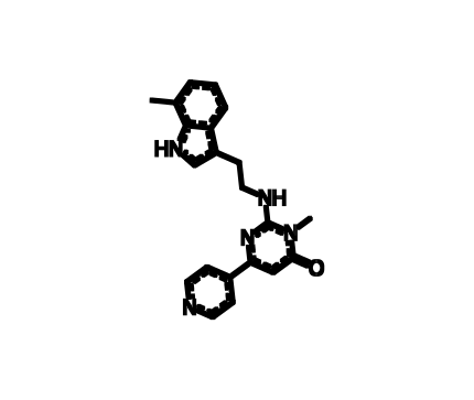 Cc1cccc2c(CCNc3nc(-c4ccncc4)cc(=O)n3C)c[nH]c12